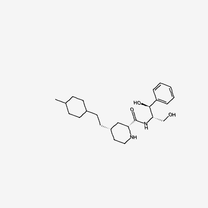 CC1CCC(CC[C@H]2CCN[C@@H](C(=O)N[C@@H](CO)[C@@H](O)c3ccccc3)C2)CC1